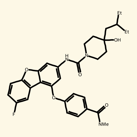 CCC(CC)CC1(O)CCN(C(=O)Nc2cc(Oc3ccc(C(=O)NC)cc3)c3c(c2)oc2ccc(F)cc23)CC1